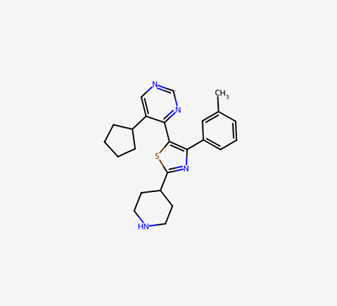 Cc1cccc(-c2nc(C3CCNCC3)sc2-c2n[c]ncc2C2CCCC2)c1